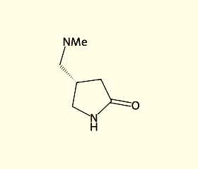 CNC[C@H]1CNC(=O)C1